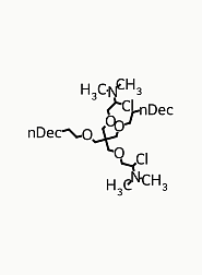 CCCCCCCCCCCCOCC(COCCCCCCCCCCCC)(COCC(Cl)N(C)C)COCC(Cl)N(C)C